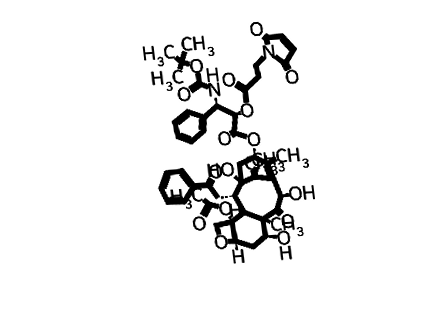 CC(=O)O[C@@]12CO[C@@H]1C[C@H](O)[C@@]1(C)C(=O)[C@H](O)C3=C(C)[C@@H](OC(=O)[C@H](OC(=O)CCN4C(=O)C=CC4=O)[C@@H](NC(=O)OC(C)(C)C)c4ccccc4)C[C@@](O)([C@@H](CC(=O)c4ccccc4)[C@H]21)C3(C)C